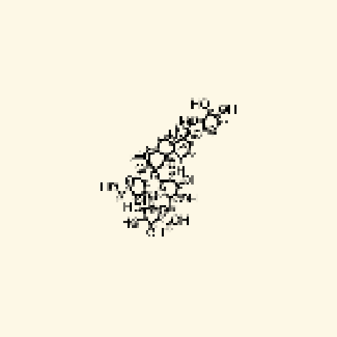 C=C1C[C@@]23CC[C@H]4[C@@](C)(CCC[C@@]4(C)C(=O)O[C@@H]4OC[C@@H](O)[C@H](O)[C@H]4O)[C@@H]2CC[C@]1(O[C@@H]1O[C@H](CO)[C@@H](O)[C@H](O[C@@H]2O[C@H](CO)[C@@H](O)[C@H](O)[C@H]2O)[C@H]1O[C@@H]1O[C@H](CO)[C@@H](O)[C@H](O)[C@H]1O)C3